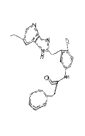 Cc1cnc2nc(-c3cc(NC(=O)Cc4ccccc4)ccc3Cl)[nH]c2c1